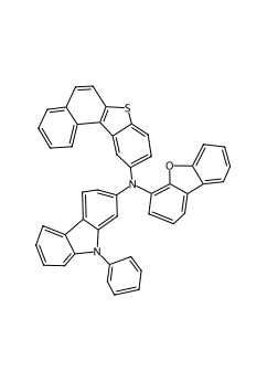 c1ccc(-n2c3ccccc3c3ccc(N(c4ccc5sc6ccc7ccccc7c6c5c4)c4cccc5c4oc4ccccc45)cc32)cc1